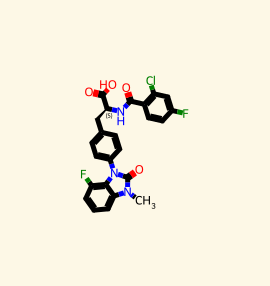 Cn1c(=O)n(-c2ccc(C[C@H](NC(=O)c3ccc(F)cc3Cl)C(=O)O)cc2)c2c(F)cccc21